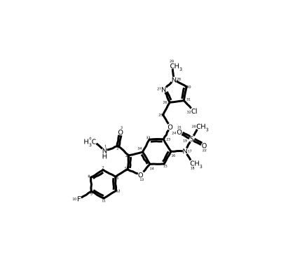 CNC(=O)c1c(-c2ccc(F)cc2)oc2cc(N(C)S(C)(=O)=O)c(OCc3nn(C)cc3Cl)cc12